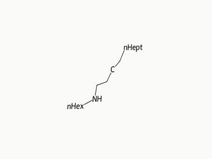 CCCCCCCCCCCNCCCCCC